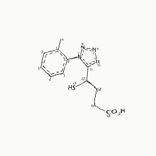 Cc1ccccc1-n1nnnc1C(S)CCC(=O)O